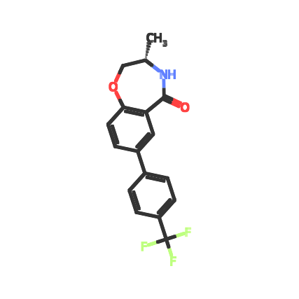 C[C@H]1COc2ccc(-c3ccc(C(F)(F)F)cc3)cc2C(=O)N1